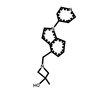 CC1(O)CN(Cc2cccc3c2ccn3-c2ccncc2)C1